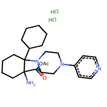 CC(=O)OC(=O)C1(N)CCCCC1(C1CCCCC1)N1CCN(c2ccncc2)CC1.Cl.Cl